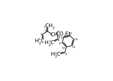 C=CC(=C)C.C=CC(=O)OCC.C=Cc1ccccc1